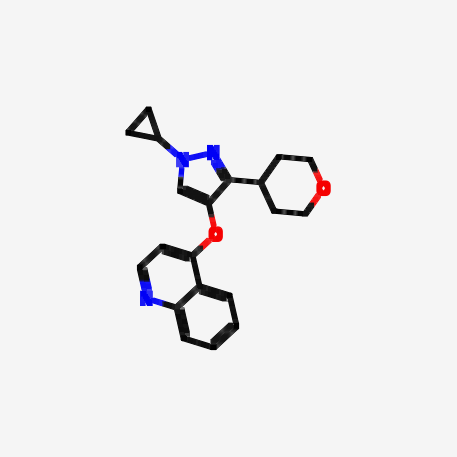 c1ccc2c(Oc3cn(C4CC4)nc3C3CCOCC3)ccnc2c1